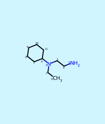 CCN(CCN)C1CCCCC1